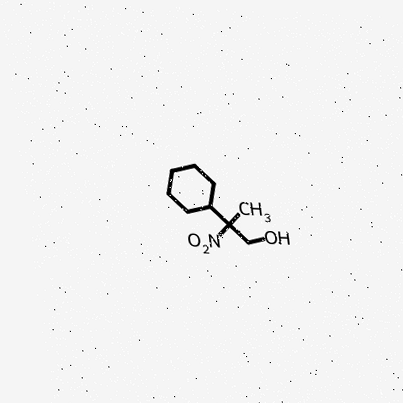 CC(CO)(C1CCCCC1)[N+](=O)[O-]